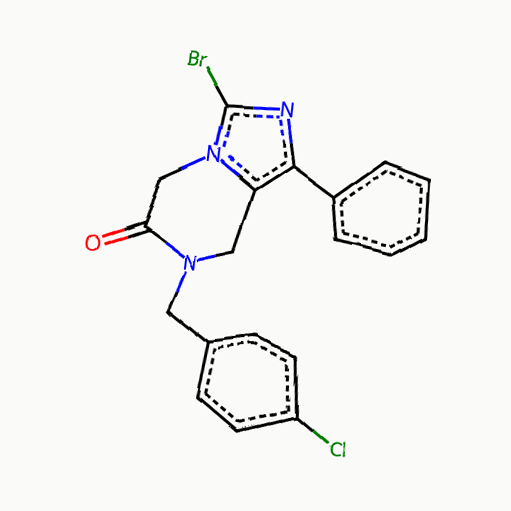 O=C1Cn2c(Br)nc(-c3ccccc3)c2CN1Cc1ccc(Cl)cc1